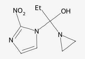 CCC(O)(N1CC1)n1ccnc1[N+](=O)[O-]